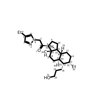 CCc1cnn(CC(=O)[C@H]2CC[C@H]3[C@@H]4CC[C@H](CC)[C@H](CCCO)[C@H]4CC[C@]23C)c1